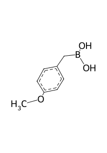 COc1ccc(CB(O)O)cc1